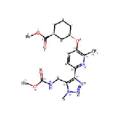 CC(C)OC(=O)[C@H]1CCC[C@H](Oc2ccc(-c3nnn(C)c3CNC(=O)OC(C)(C)C)nc2C(F)(F)F)C1